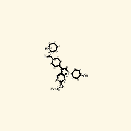 CCC[C@H](C)Nc1ncc2c(C3CCN(C(=O)[C@H]4CCCCN4)CC3)cn([C@H]3CC[C@H](O)CC3)c2n1